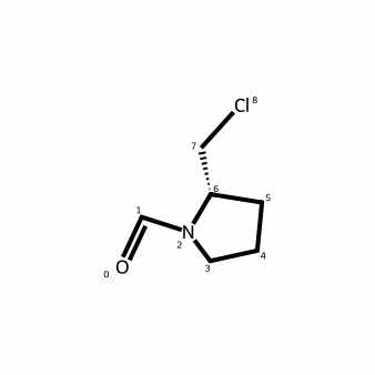 O=CN1CCC[C@H]1CCl